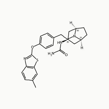 Cc1ccc2nc(Oc3ccc(CCN4[C@@H]5CC[C@H]4C[C@@H](NC(N)=O)C5)cc3)sc2c1